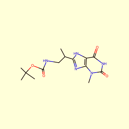 CC(CNC(=O)OC(C)(C)C)c1nc2c([nH]1)c(=O)[nH]c(=O)n2C